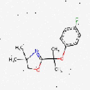 CC1(C)COC(C(C)(C)Oc2ccc(Cl)cc2)=N1